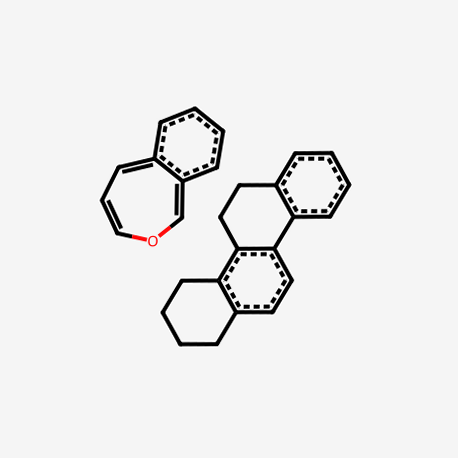 C1=COC=c2ccccc2=C1.c1ccc2c(c1)CCc1c-2ccc2c1CCCC2